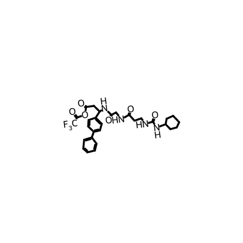 O=C(CCNC(=O)NC1CCCCC1)NCC(=O)NC(CC(=O)OC(=O)C(F)(F)F)c1ccc(-c2ccccc2)cc1